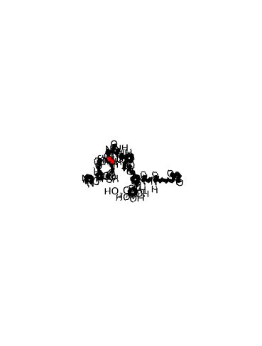 CN(Cc1ccccc1C(=O)Nc1nc2c(ncn2[C@@H]2O[C@@H]3CO[P@@](=O)(S)O[C@H]4C[C@H](Oc5ccncn5)C[C@@H]4CO[P@@](=O)(S)O[C@@H]2[C@@H]3O)c(=O)[nH]1)C(=O)OCc1ccc(O[C@@H]2O[C@H](C(=O)O)[C@@H](O)[C@H](O)[C@H]2O)c(NC(=O)CCNC(=O)CCCCCN2C(=O)C=CC2=O)c1